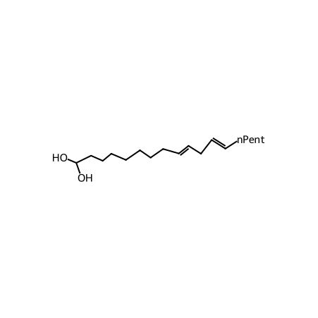 CCCCC/C=C/C/C=C/CCCCCCCC(O)O